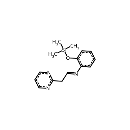 C[Si](C)(C)Oc1ccccc1N=CCc1ncccn1